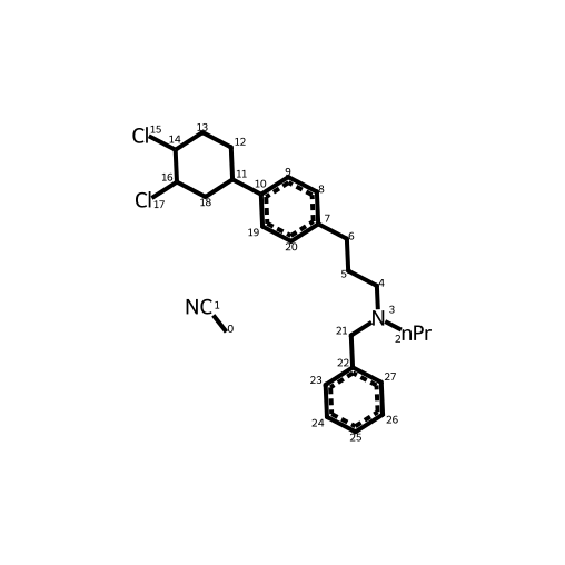 CC#N.CCCN(CCCc1ccc(C2CCC(Cl)C(Cl)C2)cc1)Cc1ccccc1